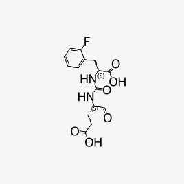 O=C[C@H](CCC(=O)O)NC(=O)N[C@@H](Cc1ccccc1F)C(=O)O